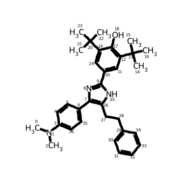 CN(C)c1ccc(-c2nc(-c3cc(C(C)(C)C)c(O)c(C(C)(C)C)c3)[nH]c2CCc2ccccc2)cc1